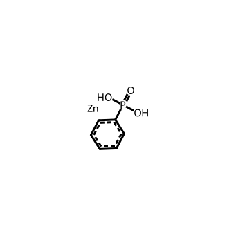 O=P(O)(O)c1ccccc1.[Zn]